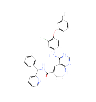 O=C(NC(c1ccccc1)c1ccccn1)C1=Cc2c(ncnc2Nc2ccc(Oc3cccc(C(F)(F)F)c3)c(Cl)c2)NCC1